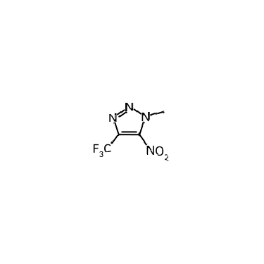 Cn1nnc(C(F)(F)F)c1[N+](=O)[O-]